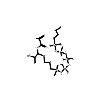 C=C(C)C(=O)OC(OCCC[Si](C)(C)O[Si](C)(C)O[Si](C)(C)O[Si](C)(C)O[Si](C)(C)CCCC)C(C)O